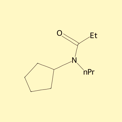 CCCN(C(=O)CC)C1CCCC1